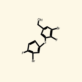 OCc1cc(Br)c(F)c(Sc2ccc(F)c(Br)c2)c1